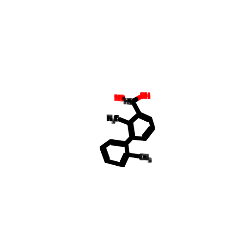 Cc1ccccc1-c1cccc([SiH](O)O)c1C